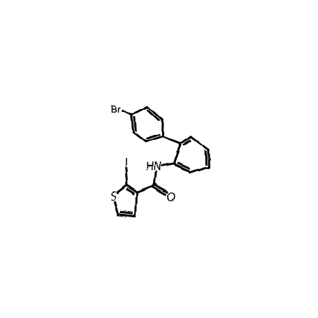 O=C(Nc1ccccc1-c1ccc(Br)cc1)c1ccsc1I